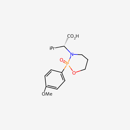 COc1ccc(P2(=O)OCCCN2[C@@H](C(=O)O)C(C)C)cc1